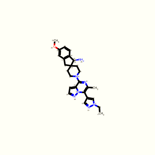 CCn1cc(-c2c(C)nc(N3CCC4(CC3)Cc3cc(OC)ccc3[C@H]4N)c3ccnn23)cn1